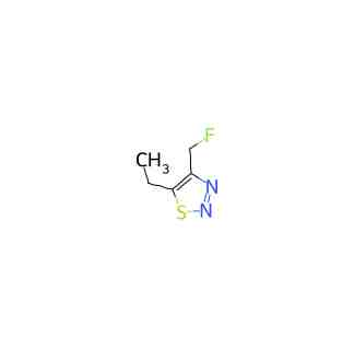 CCc1snnc1CF